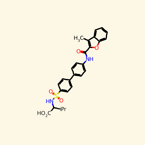 Cc1c(C(=O)Nc2ccc(-c3ccc(S(=O)(=O)NC(C(=O)O)C(C)C)cc3)cc2)oc2ccccc12